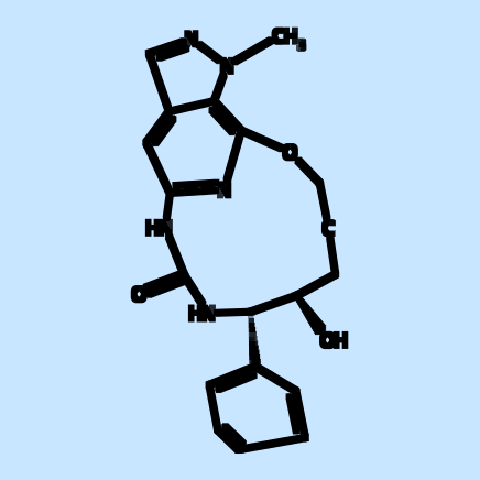 Cn1ncc2cc3nc(c21)OCCC[C@@H](O)[C@H](c1ccccc1)NC(=O)N3